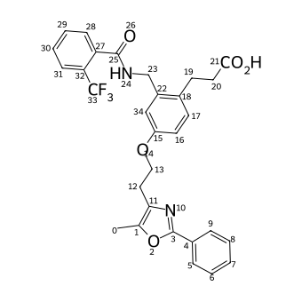 Cc1oc(-c2ccccc2)nc1CCOc1ccc(CCC(=O)O)c(CNC(=O)c2ccccc2C(F)(F)F)c1